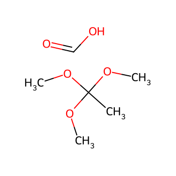 COC(C)(OC)OC.O=CO